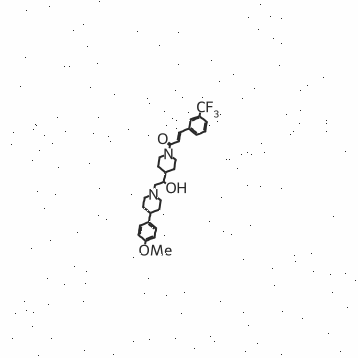 COc1ccc(C2CCN(CC(O)C3CCN(C(=O)C=Cc4cccc(C(F)(F)F)c4)CC3)CC2)cc1